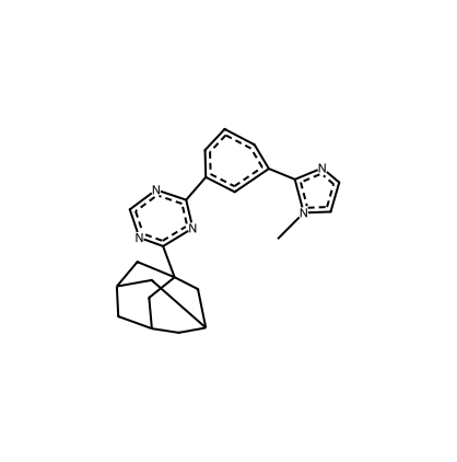 Cn1ccnc1-c1cccc(-c2ncnc(C34CC5CC(CC(C5)C3)C4)n2)c1